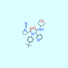 CC(C)(C)c1ccc(N(C(=O)C2CCCN2C#N)C(C(=O)NC2CCOCC2)c2cccnc2)cc1